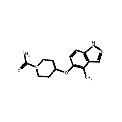 CC(=O)N1CCC(Oc2ccc3[nH]ncc3c2C)CC1